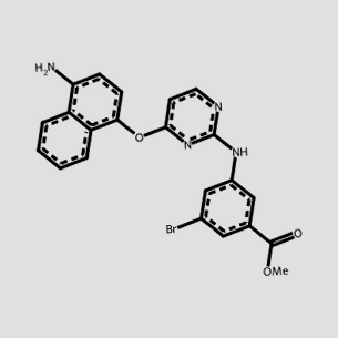 COC(=O)c1cc(Br)cc(Nc2nccc(Oc3ccc(N)c4ccccc34)n2)c1